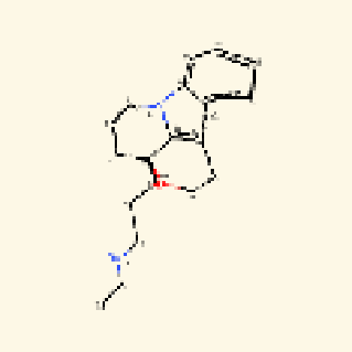 CCNCCCC12CCCn3c1c(c1ccccc13)CCO2